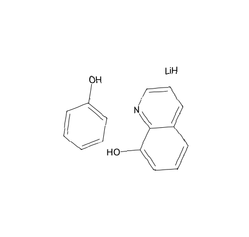 Oc1cccc2cccnc12.Oc1ccccc1.[LiH]